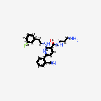 N#Cc1ccccc1-c1ccc(C(=O)NCCCN)c(NCCc2cccc(F)c2)n1